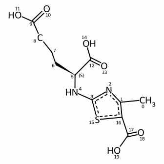 Cc1nc(N[C@@H](CCCC(=O)O)C(=O)O)sc1C(=O)O